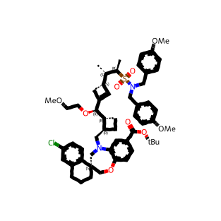 COCCO[C@@H](C1=C[C@@H]([C@H](C)[C@@H](C)S(=O)(=O)N(Cc2ccc(OC)cc2)Cc2ccc(OC)cc2)C1)[C@@H]1CC[C@H]1CN1C[C@@]2(CCCc3cc(Cl)ccc32)COc2ccc(C(=O)OC(C)(C)C)cc21